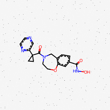 O=C(NO)c1ccc2c(c1)OCCN(C(=O)C1(c3cnccn3)CC1)C2